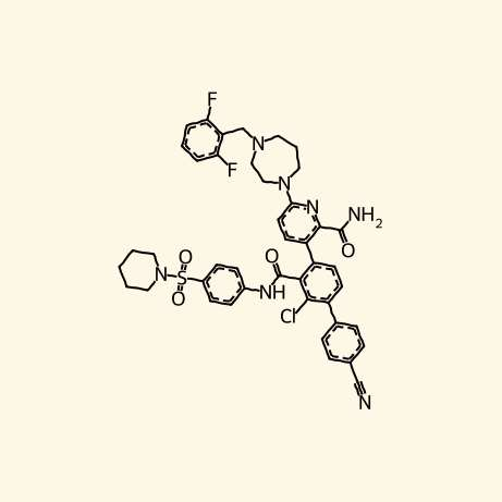 N#Cc1ccc(-c2ccc(-c3ccc(N4CCCN(Cc5c(F)cccc5F)CC4)nc3C(N)=O)c(C(=O)Nc3ccc(S(=O)(=O)N4CCCCC4)cc3)c2Cl)cc1